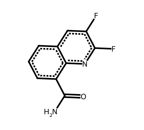 NC(=O)c1cccc2cc(F)c(F)nc12